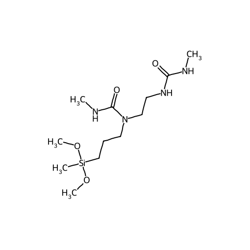 CNC(=O)NCCN(CCC[Si](C)(OC)OC)C(=O)NC